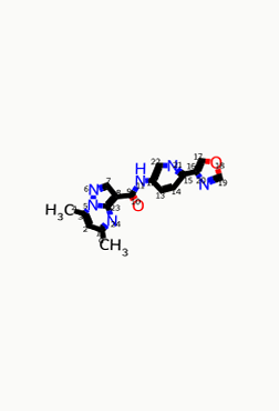 Cc1cc(C)n2ncc(C(=O)Nc3ccc(-c4cocn4)nc3)c2n1